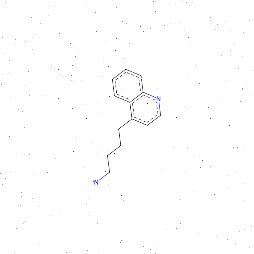 [N]CCCCc1ccnc2ccccc12